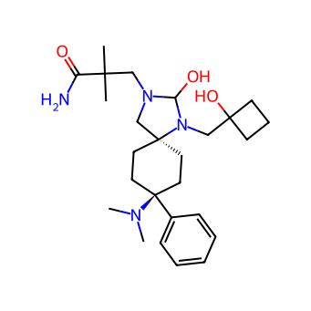 CN(C)[C@]1(c2ccccc2)CC[C@]2(CC1)CN(CC(C)(C)C(N)=O)C(O)N2CC1(O)CCC1